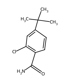 CC(C)(C)c1ccc(C(N)=O)c(Cl)c1